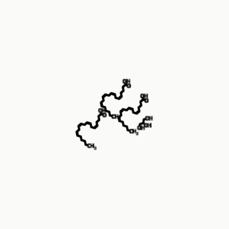 CCCCC/C=C\C/C=C\C/C=C\C/C=C\CCCC(=O)O.CCCCC/C=C\C/C=C\C/C=C\C/C=C\CCCC(=O)O.CCCCC/C=C\C/C=C\C/C=C\C/C=C\CCCC(=O)O.OCC(O)CO